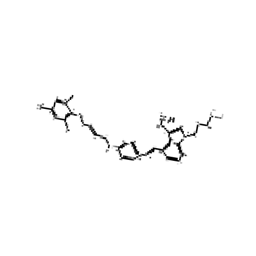 Cc1cc(Cl)cc(C)c1OCC=CCOc1ccc(C=Cc2cccc3c2c(CC(=O)O)cn3CCCC(=O)O)cc1